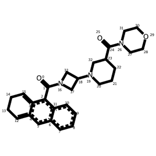 O=C(c1c2c(cc3ccccc13)=CCCC=2)N1CC(N2CCCC(C(=O)N3CCOCC3)C2)C1